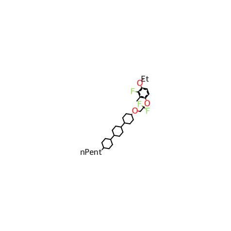 CCCCCC1CCC(C2CCC(C3CCC(OCC(F)(F)Oc4ccc(OCC)c(F)c4C)CC3)CC2)CC1